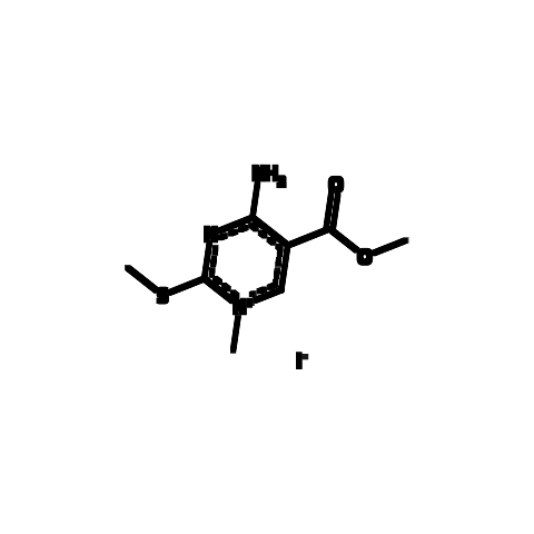 COC(=O)c1c[n+](C)c(SC)nc1N.[I-]